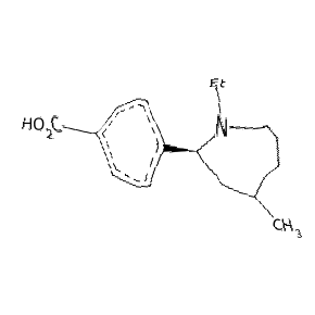 CCN1CCC(C)C[C@H]1c1ccc(C(=O)O)cc1